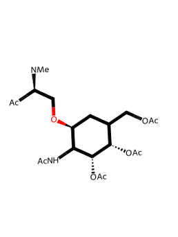 CN[C@@H](CO[C@H]1CC(COC(C)=O)[C@H](OC(C)=O)[C@H](OC(C)=O)C1NC(C)=O)C(C)=O